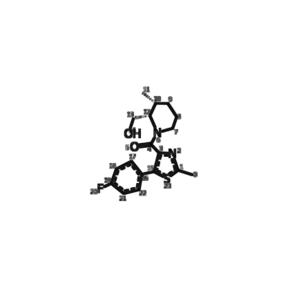 Cc1nc(C(=O)N2CCC[C@@H](C)[C@H]2CO)c(-c2ccc(F)cc2)s1